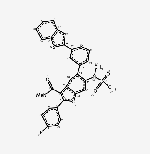 CNC(=O)c1c(-c2ccc(F)cc2)oc2cc(N(C)S(C)(=O)=O)c(-c3cccc(-c4cc5ccccc5s4)c3)cc12